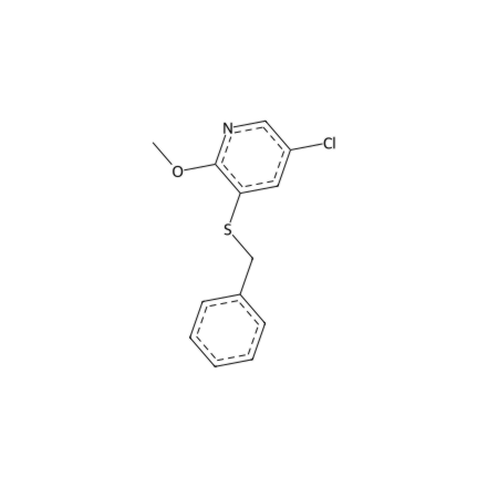 COc1ncc(Cl)cc1SCc1ccccc1